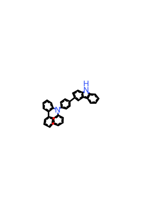 c1ccc(-c2ccccc2N(c2ccccc2)c2ccc(-c3ccc4[nH]c5ccccc5c4c3)cc2)cc1